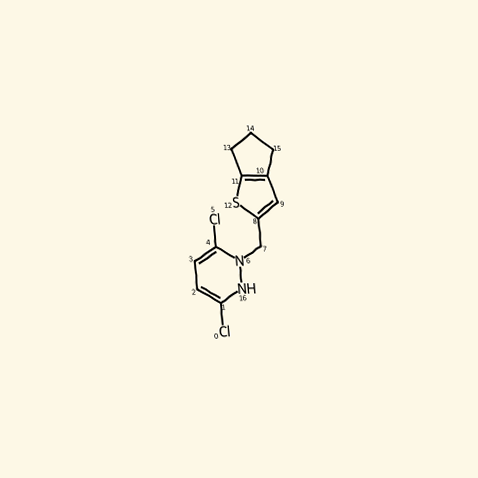 ClC1=CC=C(Cl)N(Cc2cc3c(s2)CCC3)N1